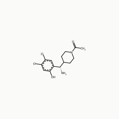 CC(=O)N1CCC([C@H](N)c2cc(Cl)c(Cl)cc2O)CC1